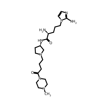 CN1CCN(C(=O)CCCN2CC[C@@H](NC(=O)[C@@H](N)CCCn3ccnc3N)C2)CC1